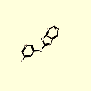 Fc1cncc(Oc2nc3cncnc3o2)c1